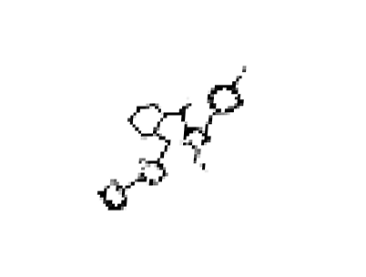 Cn1cc(-c2ccc(F)cc2)c(C(=O)N2CCCCC2Cc2nnc(-c3ccco3)o2)n1